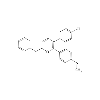 CSc1ccc(C2=C(c3ccc(Cl)cc3)C=CC(Cc3ccccc3)O2)cc1